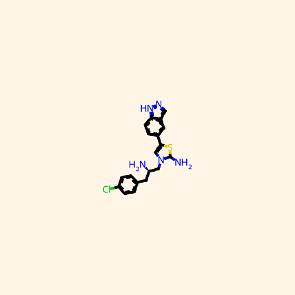 NC1SC(c2ccc3[nH]ncc3c2)=CN1C[C@H](N)Cc1ccc(Cl)cc1